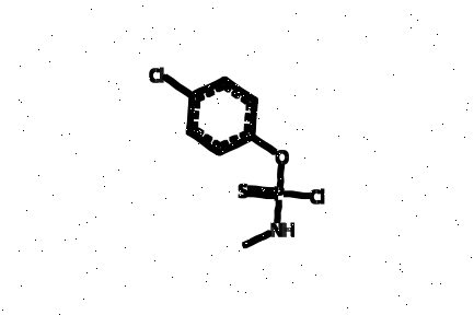 CNP(=S)(Cl)Oc1ccc(Cl)cc1